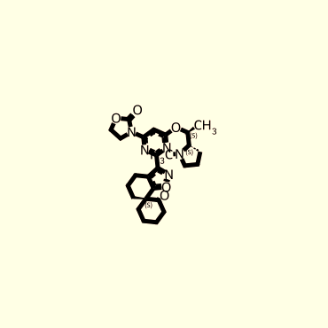 C[C@H](Oc1cc(N2CCOC2=O)nc(-c2noc3c2CCC[C@@]32CCCCC2=O)n1)[C@@H]1CCCN1C